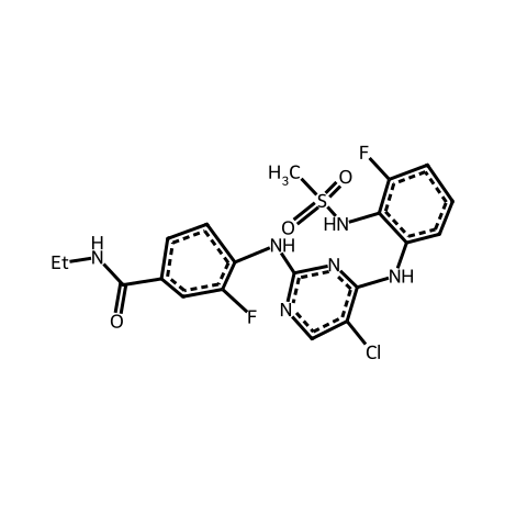 CCNC(=O)c1ccc(Nc2ncc(Cl)c(Nc3cccc(F)c3NS(C)(=O)=O)n2)c(F)c1